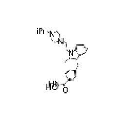 Cc1c(Cc2ccc(C(=O)NO)cc2)c2ccccc2n1CCN1CCN(C(C)C)CC1